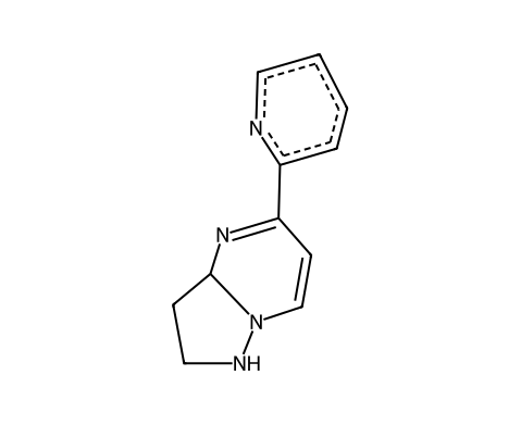 C1=CN2NCCC2N=C1c1ccccn1